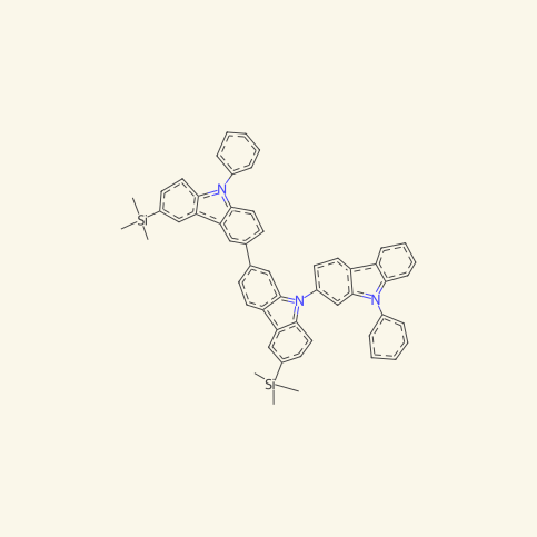 C[Si](C)(C)c1ccc2c(c1)c1cc(-c3ccc4c5cc([Si](C)(C)C)ccc5n(-c5ccc6c7ccccc7n(-c7ccccc7)c6c5)c4c3)ccc1n2-c1ccccc1